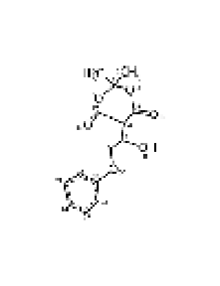 CC1(C)OC(=O)C(C(O)COc2ccccc2)C(=O)O1